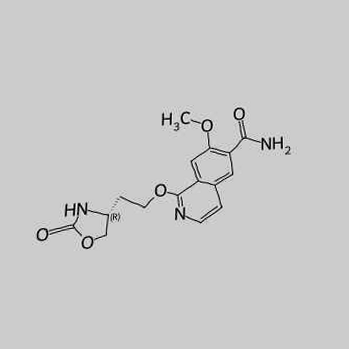 COc1cc2c(OCC[C@@H]3COC(=O)N3)nccc2cc1C(N)=O